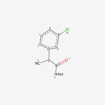 CCCCCCC(=O)C(C#N)c1cccc(Cl)c1